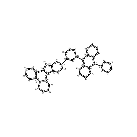 c1ccc(-c2c3ccccc3c(-c3cccc(-c4ccc5c(c4)sc4c6ccccc6c6ccccc6c54)c3)c3ccccc23)cc1